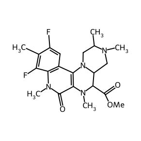 COC(=O)C1C2CN(C)C(C)CN2c2c(c(=O)n(C)c3c(F)c(C)c(F)cc23)N1C